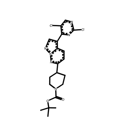 CC(C)(C)OC(=O)N1CCC(c2ccc3c(-c4nc(Cl)ncc4Cl)cnn3n2)CC1